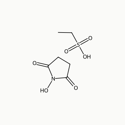 CCS(=O)(=O)O.O=C1CCC(=O)N1O